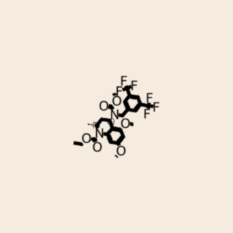 CCOC(=O)N1c2cc(OC)cc(OC)c2[C@@H](N(Cc2cc(C(F)(F)F)cc(C(F)(F)F)c2)C(=O)OC)C[C@H]1C